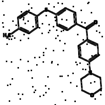 Cc1ccc(Sc2ccc(C(=O)c3ccc(N4CCOCC4)cc3)cc2)cc1